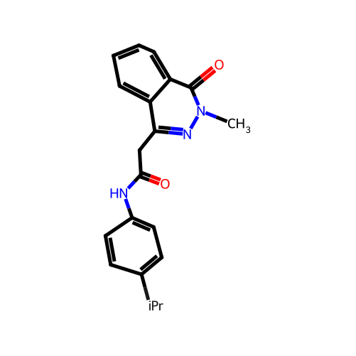 CC(C)c1ccc(NC(=O)Cc2nn(C)c(=O)c3ccccc23)cc1